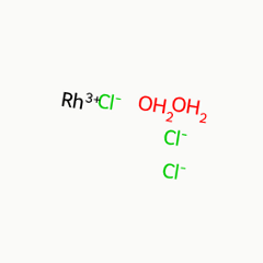 O.O.[Cl-].[Cl-].[Cl-].[Rh+3]